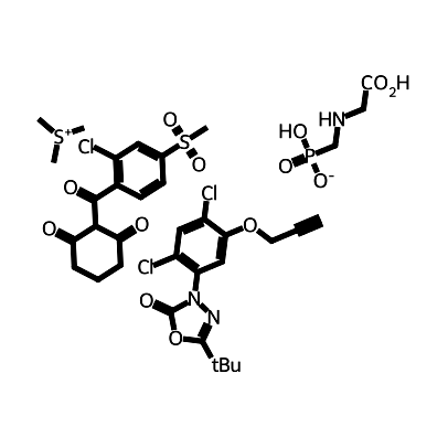 C#CCOc1cc(-n2nc(C(C)(C)C)oc2=O)c(Cl)cc1Cl.CS(=O)(=O)c1ccc(C(=O)C2C(=O)CCCC2=O)c(Cl)c1.C[S+](C)C.O=C(O)CNCP(=O)([O-])O